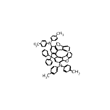 Cc1ccc(N(c2ccc(C)cc2)c2cc3c(c4c2oc2ccccc24)-c2c(cc(N(c4ccc(C)cc4)c4ccc(C)cc4)c4oc5ccccc5c24)C3(c2ccccc2)c2ccccc2)cc1